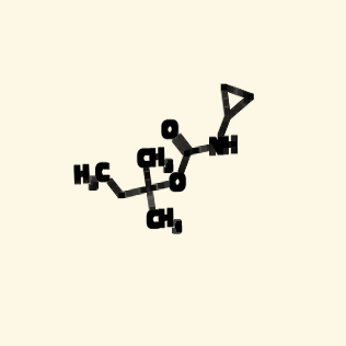 CCC(C)(C)OC(=O)NC1CC1